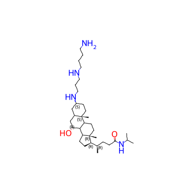 CC(C)NC(=O)CC[C@@H](C)[C@H]1CCC2C3C(CC[C@@]21C)[C@@]1(C)CC[C@H](NCCCNCCCCN)CC1C[C@H]3O